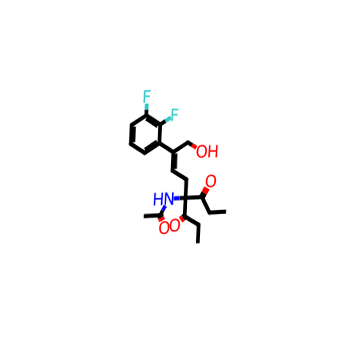 CCC(=O)C(C/C=C(\CO)c1cccc(F)c1F)(NC(C)=O)C(=O)CC